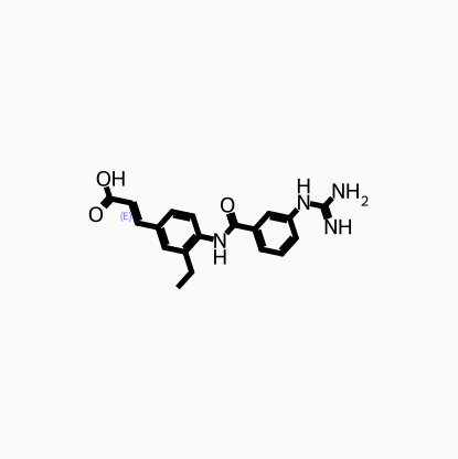 CCc1cc(/C=C/C(=O)O)ccc1NC(=O)c1cccc(NC(=N)N)c1